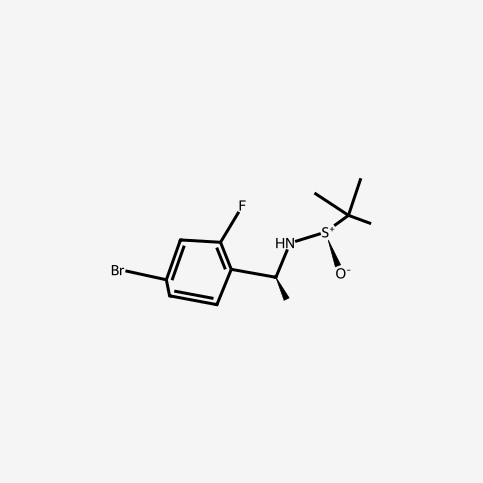 C[C@H](N[S@+]([O-])C(C)(C)C)c1ccc(Br)cc1F